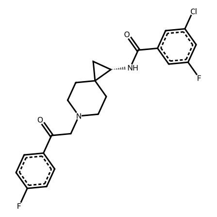 O=C(CN1CCC2(CC1)C[C@@H]2NC(=O)c1cc(F)cc(Cl)c1)c1ccc(F)cc1